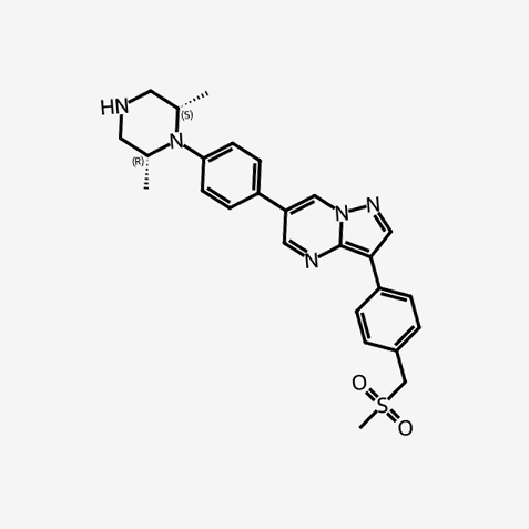 C[C@@H]1CNC[C@H](C)N1c1ccc(-c2cnc3c(-c4ccc(CS(C)(=O)=O)cc4)cnn3c2)cc1